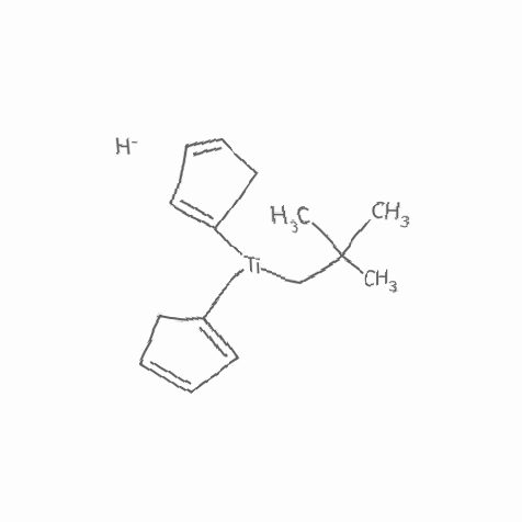 CC(C)(C)[CH2][Ti]([C]1=CC=CC1)[C]1=CC=CC1.[H-]